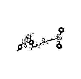 CC[C@@H](CC(=O)OCOC(=O)OCCCCOP(=O)(OCc1ccccc1)OCc1ccccc1)c1ccc(N(CC(C)C)CC(C)C)c(NC(=O)Nc2ccc(C)cc2)c1